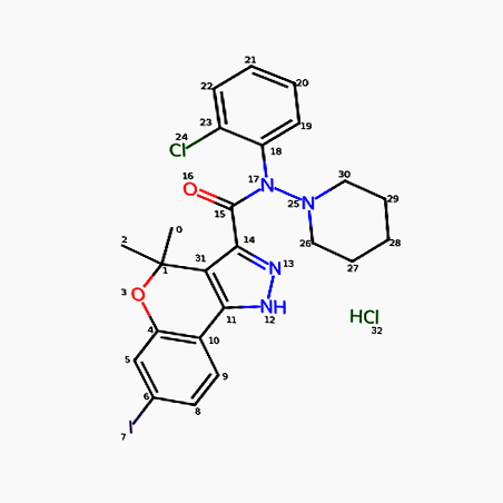 CC1(C)Oc2cc(I)ccc2-c2[nH]nc(C(=O)N(c3ccccc3Cl)N3CCCCC3)c21.Cl